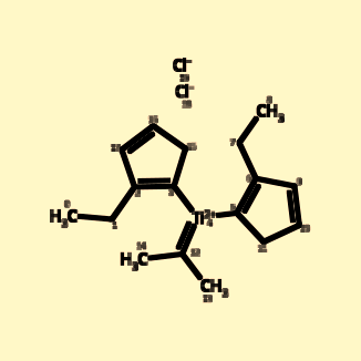 CCC1=[C]([Ti+2]([C]2=C(CC)C=CC2)=[C](C)C)CC=C1.[Cl-].[Cl-]